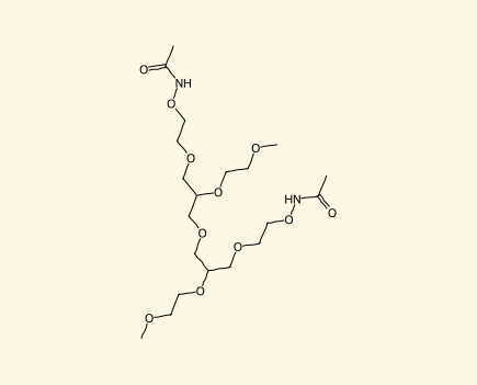 COCCOC(COCCONC(C)=O)COCC(COCCONC(C)=O)OCCOC